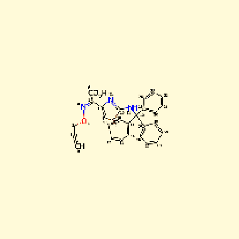 C#CCO/N=C(/C(=O)O)c1csc(NC(c2ccccc2)(c2ccccc2)c2ccccc2)n1